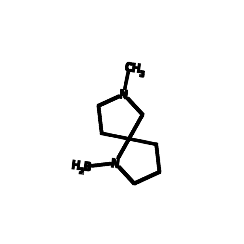 BN1CCCC12CCN(C)C2